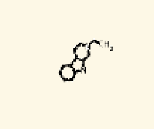 C=Cn1ccc2c3ccccc3nc-2c1